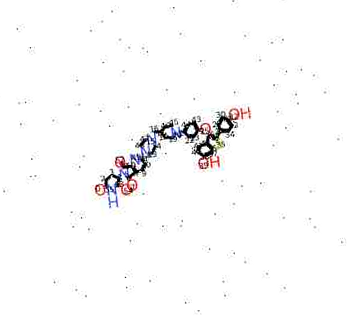 O=C1CCC(N2C(=O)c3ccc(N4CCN(CC5CCN(c6ccc(Oc7c(-c8ccc(O)cc8)sc8cc(O)ccc78)cc6)CC5)CC4)nc3C2=O)C(=O)N1